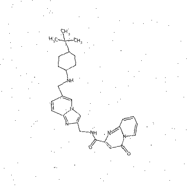 CC(C)(C)C1CCC(NCc2ccc3nc(CNC(=O)c4cc(=O)n5ccccc5n4)cn3c2)CC1